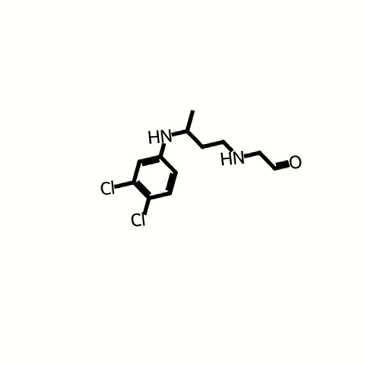 CC(CCNCC=O)Nc1ccc(Cl)c(Cl)c1